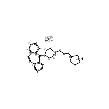 C1=Cc2ccccc2C(=C2CCN(CCCC3CCCNC3)CC2)c2ccccc21.Cl.Cl